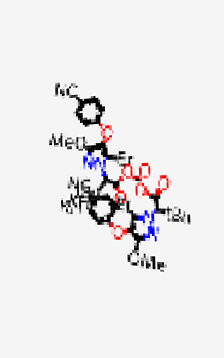 CCc1c(Oc2ccc(C#N)cc2)c(OC)nn1C(C(=O)OC(=O)OC(=O)C(n1nc(OC)c(Oc2ccc(C#N)cc2)c1CC)C(C)(C)C)C(C)(C)C.[KH].[KH]